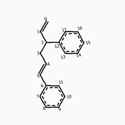 C=CC(C/C=C/c1ccccc1)c1ccccc1